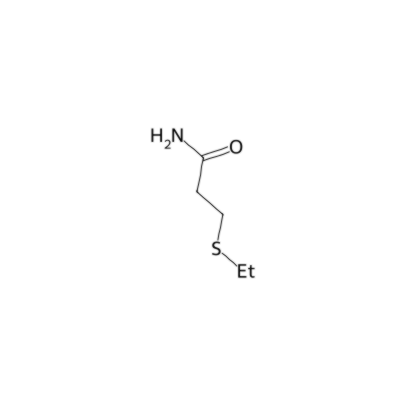 CCSCCC(N)=O